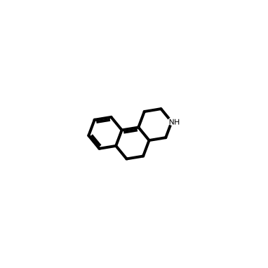 C1=CC2=C3CCNCC3CCC2C=C1